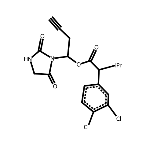 C#CCC(OC(=O)C(c1ccc(Cl)c(Cl)c1)C(C)C)N1C(=O)CNC1=O